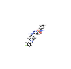 Cc1cc(CN2C[C@H]3C[C@@H](Nc4ccc(S(=O)(=O)Nc5ccccc5)nn4)C[C@H]3C2)ccc1F